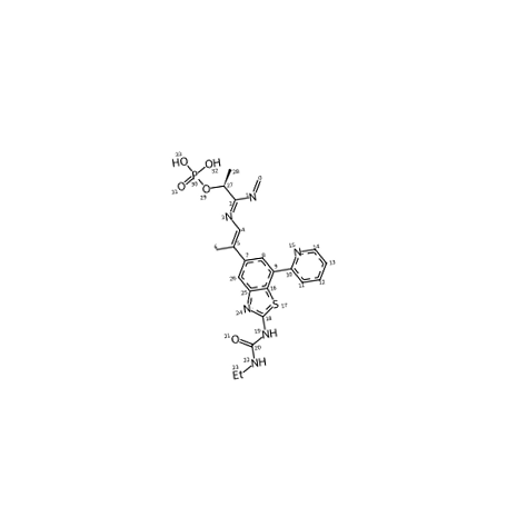 C=N/C(=N\C=C(/C)c1cc(-c2ccccn2)c2sc(NC(=O)NCC)nc2c1)[C@H](C)OP(=O)(O)O